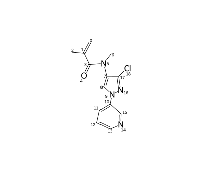 C=C(C)C(=O)N(C)c1cn(-c2cccnc2)nc1Cl